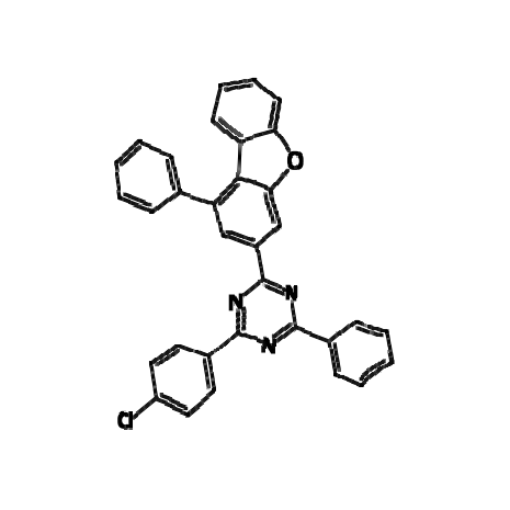 Clc1ccc(-c2nc(-c3ccccc3)nc(-c3cc(-c4ccccc4)c4c(c3)oc3ccccc34)n2)cc1